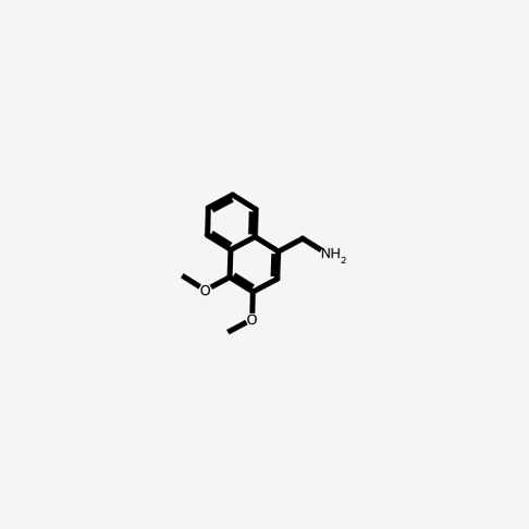 COc1cc(CN)c2ccccc2c1OC